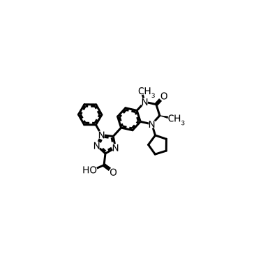 C[C@@H]1C(=O)N(C)c2ccc(-c3nc(C(=O)O)nn3-c3ccccc3)cc2N1C1CCCC1